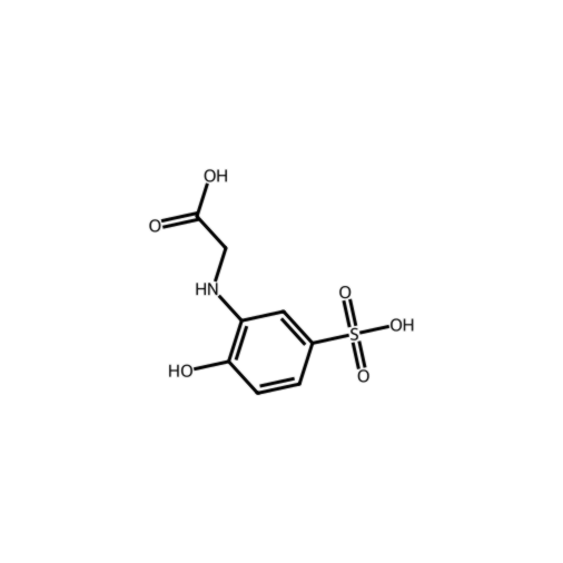 O=C(O)CNc1cc(S(=O)(=O)O)ccc1O